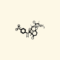 C[C@H](N)C(=O)N[C@@H](C)C(=O)N1C(=O)CCC(=O)[C@]1(C)C(=O)Nc1ccc([N+](=O)[O-])cc1